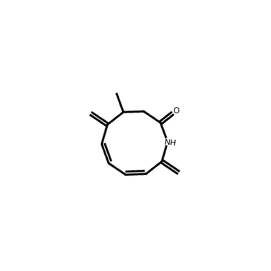 C=C1/C=C\C=C/C(=C)C(C)CC(=O)N1